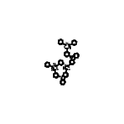 c1ccc(-c2nc(-c3ccccc3)nc(-c3cccc(-n4c5ccccc5c5ccc(-c6nnc(-c7ccc8c9ccccc9n(-c9cccc(-c%10nc(-c%11ccccc%11)nc(-c%11ccccc%11)n%10)c9)c8c7)o6)cc54)c3)n2)cc1